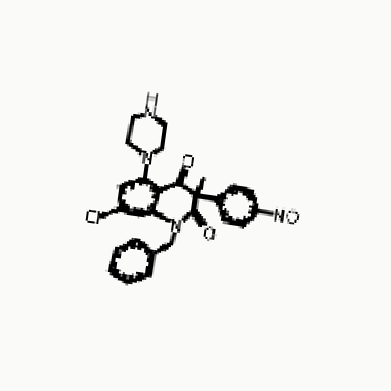 CC1(c2ccc(N=O)cc2)C(=O)c2c(N3CCNCC3)cc(Cl)cc2N(Cc2ccccc2)C1=O